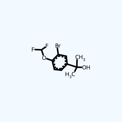 CC(C)(O)c1ccc(OC(F)F)c(Br)c1